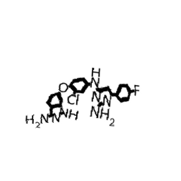 Nc1nc(Nc2ccc(Oc3ccc4c(N)n[nH]c4c3)c(Cl)c2)cc(-c2ccc(F)cc2)n1